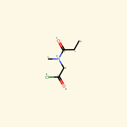 CCC(=O)N(C)CC(=O)Cl